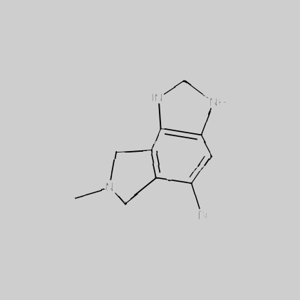 CN1Cc2c(Br)cc3c(c2C1)NCN3